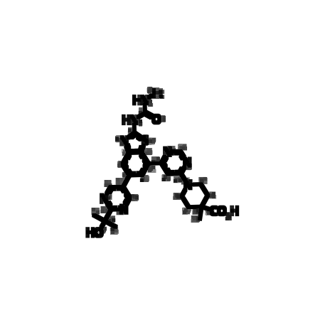 CCNC(=O)Nc1nc2cc(-c3cnc(C(C)(C)O)nc3)cc(-c3cc(N4CCC(C)(C(=O)O)CC4)ncn3)c2s1